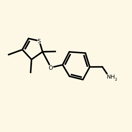 CC1=CSC(C)(Oc2ccc(CN)cc2)C1C